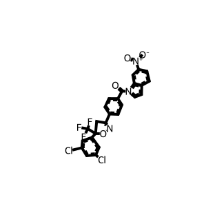 O=C(c1ccc(C2=NOC(c3cc(Cl)cc(Cl)c3)(C(F)(F)F)C2)cc1)n1ccc2ccc([N+](=O)[O-])cc21